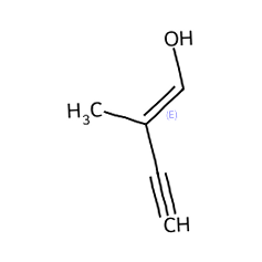 C#C/C(C)=C/O